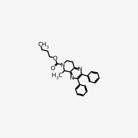 CCCCOC(=O)N1CCc2nc(-c3ccccc3)c(-c3ccccc3)nc2C1C